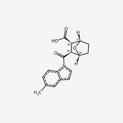 Cc1ccc2c(ccn2C(=O)[C@H]2[C@@H](C(=O)O)[C@@H]3CC[C@H]2O3)c1